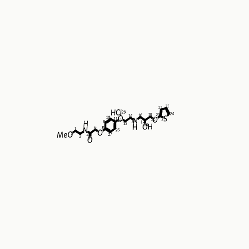 COCCNC(=O)COc1ccc(OCCNCC(O)COc2cccs2)cc1.Cl